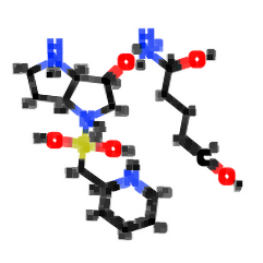 NC(=O)CCC=C=O.O=C1CN(S(=O)(=O)Cc2ccccn2)C2CCNC12